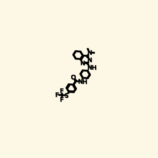 CN(C)c1nc(N[C@H]2CC[C@@H](NC(=O)c3ccc(SC(F)(F)F)cc3)CC2)nc2c1CCCC2